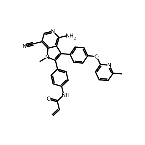 C=CC(=O)Nc1ccc(-c2c(-c3ccc(Oc4cccc(C)n4)cc3)c3c(N)ncc(C#N)c3n2C)cc1